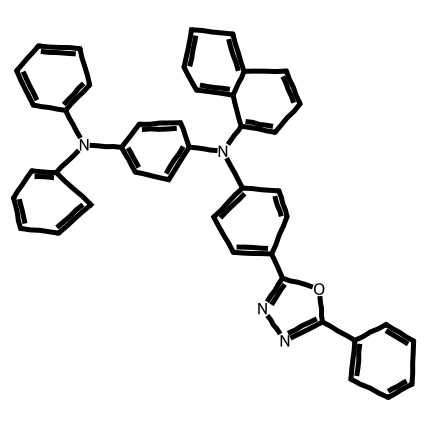 c1ccc(-c2nnc(-c3ccc(N(c4ccc(N(c5ccccc5)c5ccccc5)cc4)c4cccc5ccccc45)cc3)o2)cc1